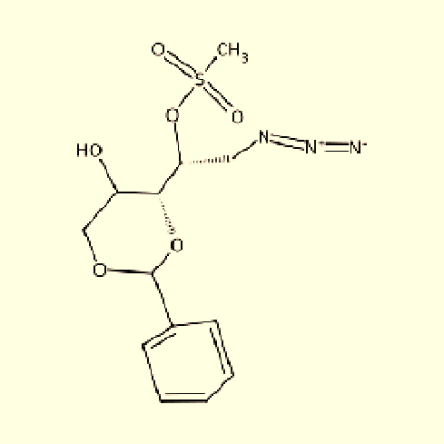 CS(=O)(=O)O[C@H](CN=[N+]=[N-])[C@@H]1OC(c2ccccc2)OCC1O